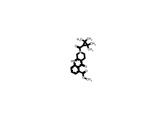 COC(=O)c1cccc2[nH]c3c(c(=O)c12)CCN(C(=O)C1C(C)(C)C1(C)C)C3